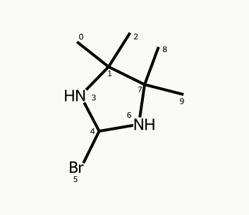 CC1(C)NC(Br)NC1(C)C